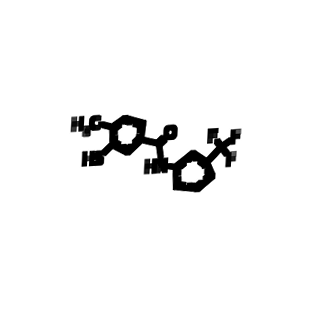 Cc1ccc(C(=O)Nc2cccc(C(F)(F)F)c2)cc1S